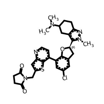 CN(C)C1CCc2nn(C)c([C@H]3Cc4cc(Cl)cc(-c5ccnc6cc(CN7C(=O)CCC7=O)sc56)c4O3)c2C1